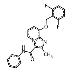 Cc1nc2c(OCc3c(F)cccc3F)cccn2c1C(=O)Nc1ccccc1